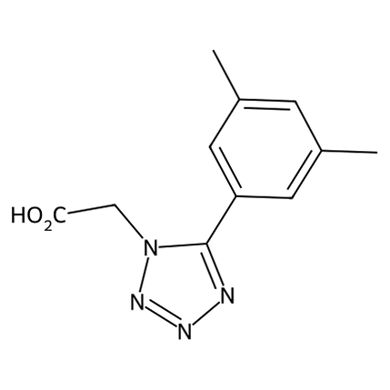 Cc1cc(C)cc(-c2nnnn2CC(=O)O)c1